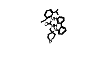 CCc1cccc(C(C)C)c1NC(=O)NCC1(Nc2ccccc2-c2ccccc2)CCN(C)CC1